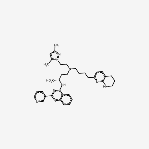 Cc1cc(C)n(CCN(CCCCc2ccc3c(n2)NCCC3)CC[C@H](Nc2nc(-c3cccnc3)nc3ccccc23)C(=O)O)n1